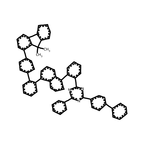 CC1(C)c2ccccc2-c2cccc(-c3ccc(-c4ccccc4-c4cccc5c(-c6ccccc6-c6nc(-c7ccccc7)nc(-c7ccc(-c8ccccc8)cc7)n6)cccc45)cc3)c21